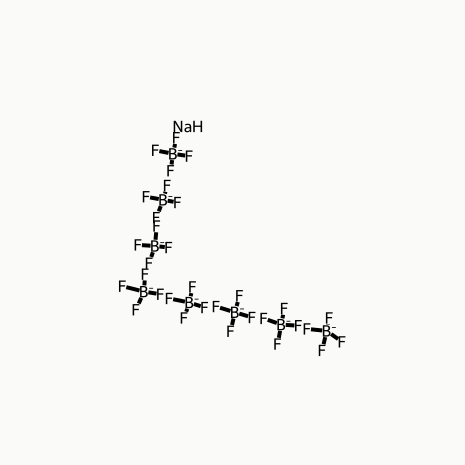 F[B-](F)(F)F.F[B-](F)(F)F.F[B-](F)(F)F.F[B-](F)(F)F.F[B-](F)(F)F.F[B-](F)(F)F.F[B-](F)(F)F.F[B-](F)(F)F.[NaH]